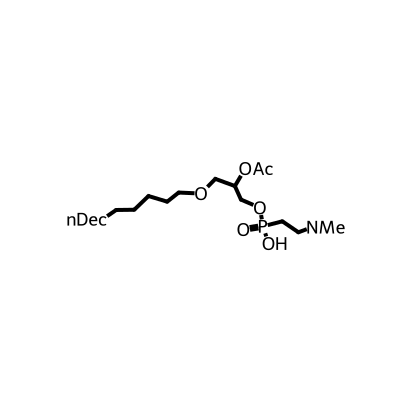 CCCCCCCCCCCCCCCOCC(COP(=O)(O)CCNC)OC(C)=O